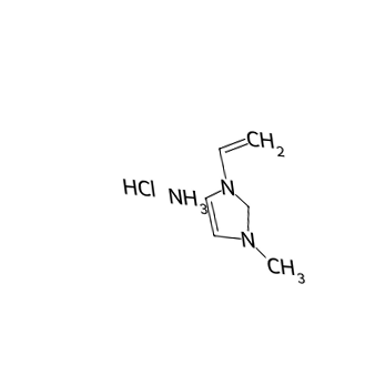 C=CN1C=CN(C)C1.Cl.N